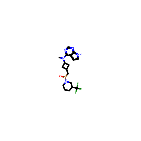 CN(c1ncnc2[nH]ccc12)C1CC(C[S+]([O-])N2CCCC(C(F)(F)F)C2)C1